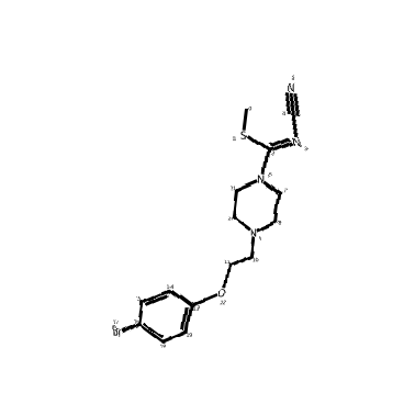 CSC(=NC#N)N1CCN(CCOc2ccc(Br)cc2)CC1